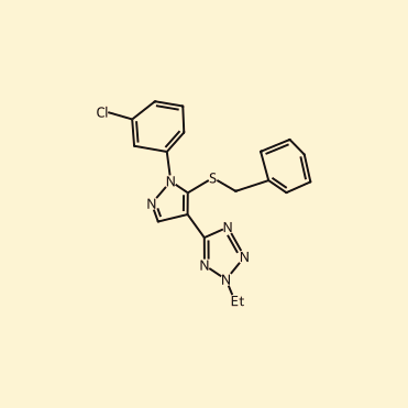 CCn1nnc(-c2cnn(-c3cccc(Cl)c3)c2SCc2ccccc2)n1